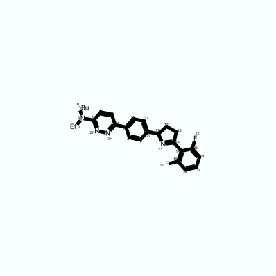 CCCCN(CC)c1ccc(-c2ccc(C3CCC(c4c(F)cccc4F)=N3)cc2)nn1